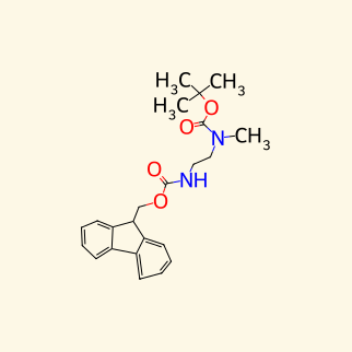 CN(CCNC(=O)OCC1c2ccccc2-c2ccccc21)C(=O)OC(C)(C)C